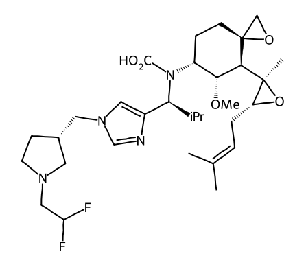 CO[C@@H]1[C@H](N(C(=O)O)[C@H](c2cn(C[C@H]3CCN(CC(F)F)C3)cn2)C(C)C)CC[C@]2(CO2)[C@H]1[C@@]1(C)O[C@@H]1CC=C(C)C